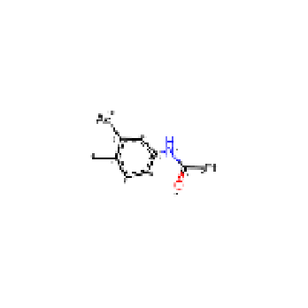 CCC(=O)Nc1ccc(C)c(C(C)=O)c1